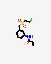 C=CC(=O)Nc1cccc(CS(=O)(=O)CCCl)c1